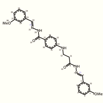 COc1cccc(/C=N/NC(=O)CCNc2ccc(C(=O)N/N=C/c3cccc(OC)c3)cc2)c1